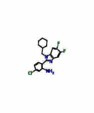 Nc1cc(Cl)ccc1-c1nc2cc(F)c(F)cc2n1CC1CCCCC1